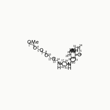 COCCOCCOCCOCCOCCNc1ccc(Nc2ccc3c(c2)[C@]2(C)CCN(CC4CC4)[C@H](C3=O)[C@@H]2C)cc1